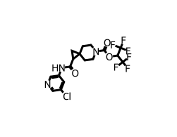 O=C(Nc1cncc(Cl)c1)C1CC12CCN(C(=O)OC(C(F)(F)F)C(F)(F)F)CC2